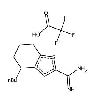 CCCCC1CCCc2sc(C(=N)N)cc21.O=C(O)C(F)(F)F